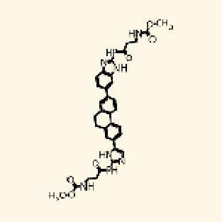 COC(=O)NCCC(=O)Pc1ncc(-c2ccc3c(c2)CCc2cc(-c4ccc5nc(PC(=O)CCNC(=O)OC)[nH]c5c4)ccc2-3)[nH]1